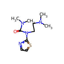 CN(C)CCN(C(=O)N(C)C)c1nccs1